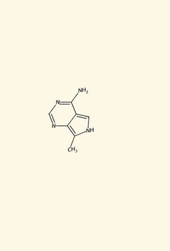 Cc1[nH]cc2c(N)ncnc12